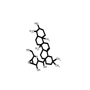 CC1C(O)CCC2(C)C1CCC1(C)C3CCC4(C(O)C5OC(CO)C6OC6C5O)CCC(C)(C)CC4C3=CCC12